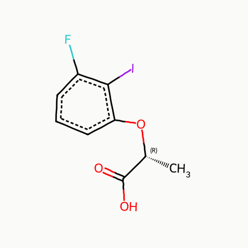 C[C@@H](Oc1cccc(F)c1I)C(=O)O